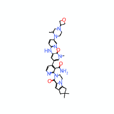 C[C@H]1CN(C2COC2)CCN1c1ccc(Nc2cc(-c3ccnc(N4CCn5c(cc6c5CC(C)(C)C6)C4=O)c3C(N)=O)cn(C)c2=O)nc1